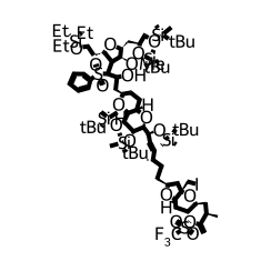 C=C(OS(=O)(=O)C(F)(F)F)[C@H](C)C[C@H]1CC[C@@H]2O[C@@H](CC[CH]/C=C/[C@H](O[Si](C)(C)C(C)(C)C)[C@@H]3O[C@H]4CC[C@H](CC(O)C(C5[C@H](CCO[Si](CC)(CC)CC)O[C@H](C[C@@H](CO[Si](C)(C)C(C)(C)C)O[Si](C)(C)C(C)(C)C)[C@@H]5OC)S(=O)(=O)c5ccccc5)O[C@@H]4[C@H](O[Si](C)(C)C(C)(C)C)[C@@H]3O[Si](C)(C)C(C)(C)C)C[C@]2(CI)O1